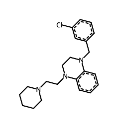 Clc1cccc(CN2CCN(CCN3CCCCC3)c3ccccc32)c1